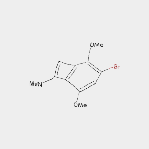 CNC1=Cc2c(OC)c(Br)cc(OC)c21